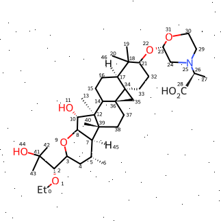 CCO[C@@H](C1C[C@@H](C)[C@H]2C(O1)[C@H](O)[C@@]1(C)C3CC[C@H]4C(C)(C)C(O[C@H]5CN([C@@H](C)C(=O)O)CCO5)CC[C@@]45C[C@@]35CC[C@]21C)C(C)(C)O